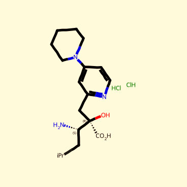 CC(C)C[C@H](N)[C@](O)(Cc1cc(N2CCCCC2)ccn1)C(=O)O.Cl.Cl